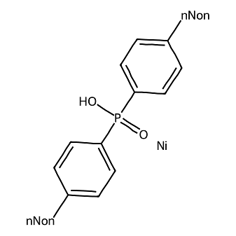 CCCCCCCCCc1ccc(P(=O)(O)c2ccc(CCCCCCCCC)cc2)cc1.[Ni]